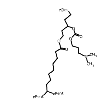 CCCCCCCCCCCCC(CCOC(=O)CCCCCCCC(CCCCC)CCCCC)OC(=O)OCCCN(C)C